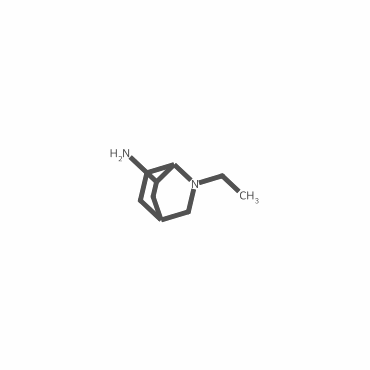 CCN1CC2CCC1C(N)C2